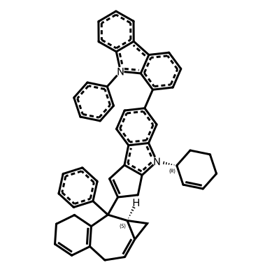 C1=C[C@H](n2c3c(c4ccc(-c5cccc6c7ccccc7n(-c7ccccc7)c56)cc42)C=C(C2(c4ccccc4)C4=C(C=CCC4)CC=C4C[C@@H]42)C3)CCC1